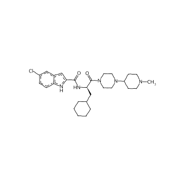 CN1CCC(N2CCN(C(=O)[C@@H](CC3CCCCC3)NC(=O)c3cc4cc(Cl)ccc4[nH]3)CC2)CC1